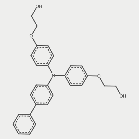 OCCOc1ccc(N(c2ccc(OCCO)cc2)c2ccc(-c3ccccc3)cc2)cc1